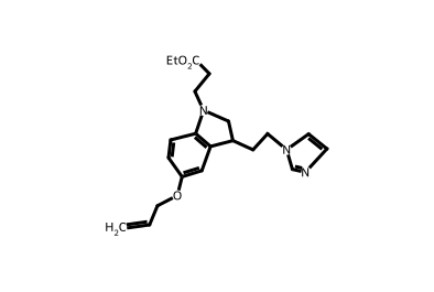 C=CCOc1ccc2c(c1)C(CCn1ccnc1)CN2CCC(=O)OCC